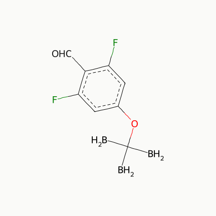 BC(B)(B)Oc1cc(F)c(C=O)c(F)c1